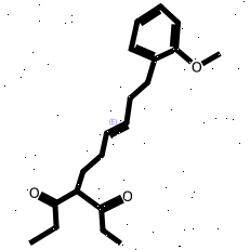 CCC(=O)C(CC/C=C/CCc1ccccc1OC)C(=O)CC